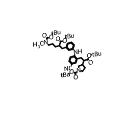 CN(CCCC(Cc1cccc(Nc2ccc(C#N)cc2CC(C(=O)OC(C)(C)C)C2CCN(C(=O)OC(C)(C)C)C2)c1)C(=O)OC(C)(C)C)C(=O)OC(C)(C)C